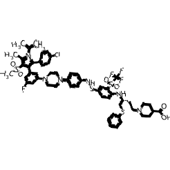 Cc1c(S(C)(=O)=O)c(-c2cc(F)cc(N3CCN(c4ccc(NSc5ccc(N[C@H](CCN6CCC(C(=O)O)CC6)CSc6ccccc6)c(S(=O)(=O)C(F)(F)F)c5)cc4)CC3)c2)c(-c2ccc(Cl)cc2)n1C(C)C